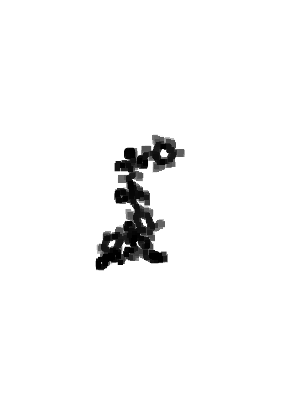 CC(C)(C)C(C(=O)O)N(c1cccc(Cl)c1)S(=O)(=O)c1cccc(C(=O)NCCNC(=O)OCc2ccccc2)c1